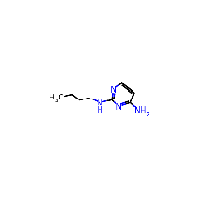 CCCCNc1nccc(N)n1